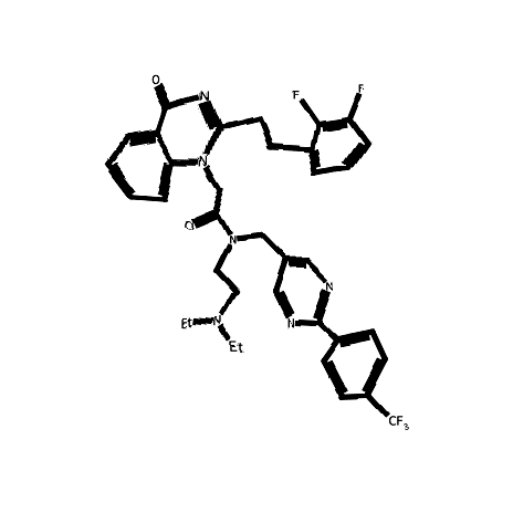 CCN(CC)CCN(Cc1cnc(-c2ccc(C(F)(F)F)cc2)nc1)C(=O)Cn1c(CCc2cccc(F)c2F)nc(=O)c2ccccc21